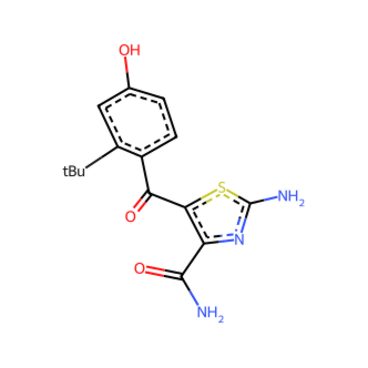 CC(C)(C)c1cc(O)ccc1C(=O)c1sc(N)nc1C(N)=O